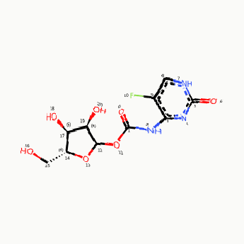 O=C(Nc1nc(=O)[nH]cc1F)OC1O[C@H](CO)[C@@H](O)[C@H]1O